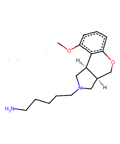 COc1cccc2c1[C@@H]1CN(CCCCCN)C[C@@H]1CO2